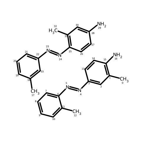 Cc1cc(N=Nc2ccccc2C)ccc1N.Cc1cccc(N=Nc2ccc(N)cc2C)c1